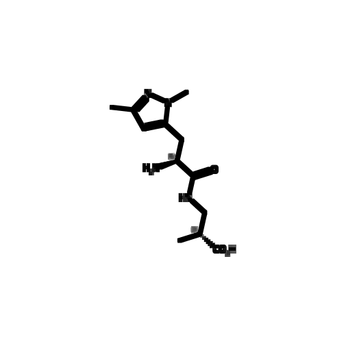 Cc1cc(C[C@H](N)C(=O)NC[C@@H](C)C(=O)O)n(C)n1